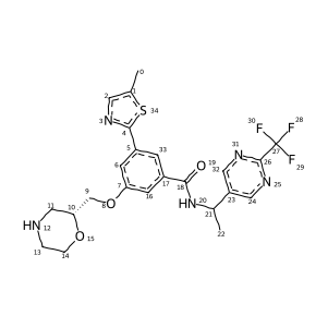 Cc1cnc(-c2cc(OC[C@H]3CNCCO3)cc(C(=O)NC(C)c3cnc(C(F)(F)F)nc3)c2)s1